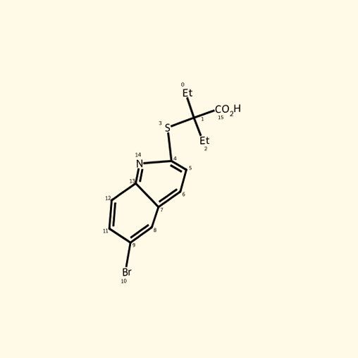 CCC(CC)(Sc1ccc2cc(Br)ccc2n1)C(=O)O